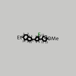 CCc1ccc2cc(-c3ccc(-c4ccc(OC)cc4)c(F)c3)ccc2c1